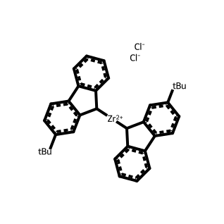 CC(C)(C)c1ccc2c(c1)[CH]([Zr+2][CH]1c3ccccc3-c3ccc(C(C)(C)C)cc31)c1ccccc1-2.[Cl-].[Cl-]